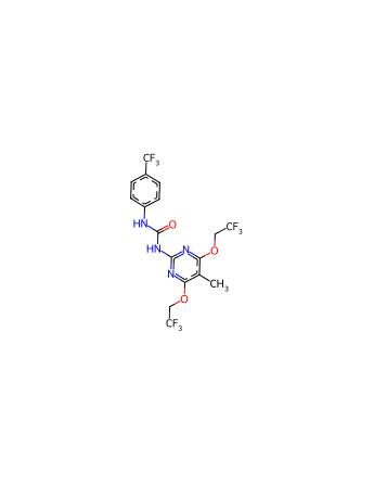 Cc1c(OCC(F)(F)F)nc(NC(=O)Nc2ccc(C(F)(F)F)cc2)nc1OCC(F)(F)F